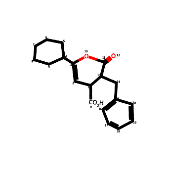 O=C(O)C1C=C(C2CCCCC2)OC(=O)C1Cc1ccccc1